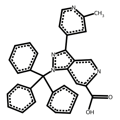 Cc1cc(-c2nn(C(c3ccccc3)(c3ccccc3)c3ccccc3)c3cc(C(=O)O)ncc23)ccn1